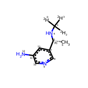 [2H]C([2H])([2H])N[C@H](C)c1cncc(N)c1